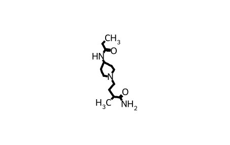 CCC(=O)NC1CCN(CCC(C)C(N)=O)CC1